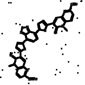 COc1ccc2c(cc(-c3ccc(-c4ccc(-c5ccc(-c6cc7nc(OC)ccc7n(C)c6=O)s5)c5nsnc45)s3)c(=O)n2C)n1